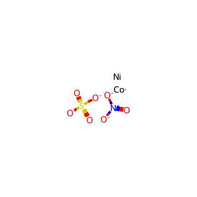 O=S(=O)([O-])[O-].O=[N+]([O-])[O-].[Co].[Ni]